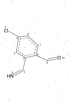 N=[C]c1cc(Cl)ccc1[C]=O